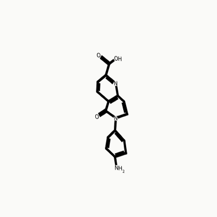 Nc1ccc(-n2ccc3nc(C(=O)O)ccc3c2=O)cc1